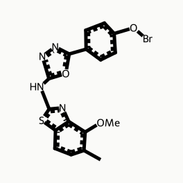 COc1c(C)ccc2sc(Nc3nnc(-c4ccc(OBr)cc4)o3)nc12